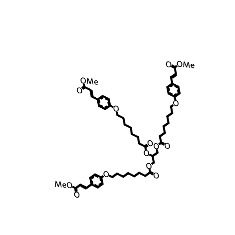 COC(=O)C=Cc1ccc(OCCCCCCCC(=O)OCC(COC(=O)CCCCCCCOc2ccc(C=CC(=O)OC)cc2)OC(=O)CCCCCCCOc2ccc(C=CC(=O)OC)cc2)cc1